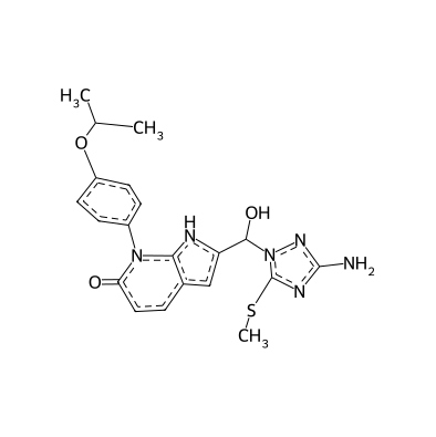 CSc1nc(N)nn1C(O)c1cc2ccc(=O)n(-c3ccc(OC(C)C)cc3)c2[nH]1